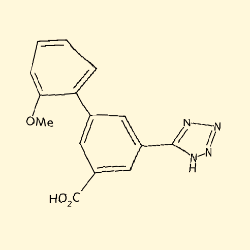 COc1ccccc1-c1cc(C(=O)O)cc(-c2nnn[nH]2)c1